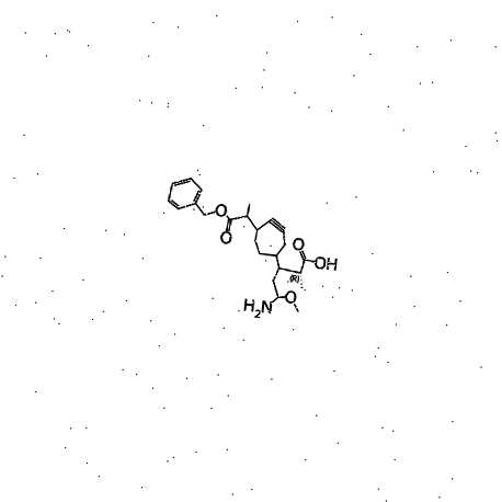 COC(N)CC(C1CC#CC(C(C)C(=O)OCc2ccccc2)CC1)[C@@H](C)C(=O)O